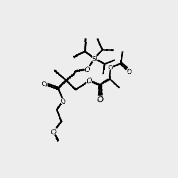 COCCOC(=O)C(C)(COC(=O)C(C)OC(C)=O)CO[Si](C(C)C)(C(C)C)C(C)C